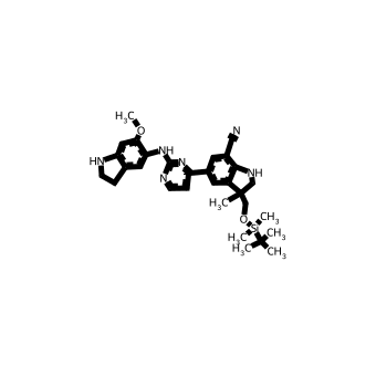 COc1cc2c(cc1Nc1nccc(-c3cc(C#N)c4c(c3)C(C)(CO[Si](C)(C)C(C)(C)C)CN4)n1)CCN2